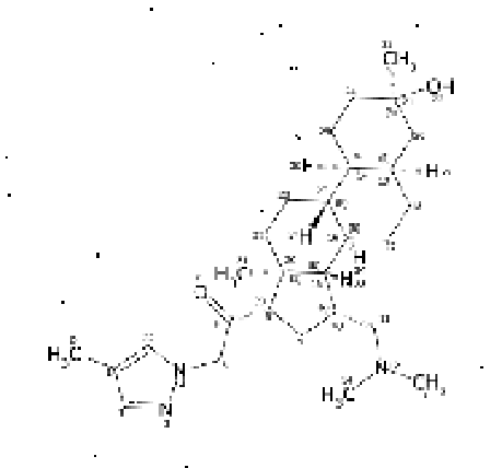 Cc1cnn(CC(=O)[C@H]2C[C@@H](CN(C)C)[C@H]3[C@@H]4CC[C@@H]5C[C@](C)(O)CC[C@@H]5[C@H]4CC[C@@]32C)c1